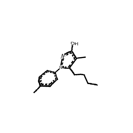 CCCCc1c(C)c(O)nn1-c1ccc(C)cc1